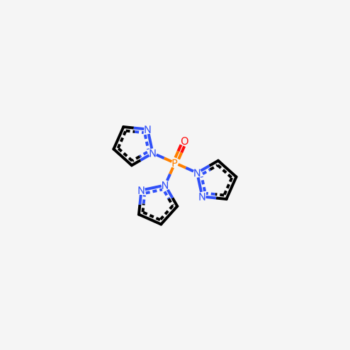 O=P(n1cccn1)(n1cccn1)n1cccn1